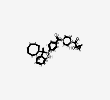 CC1(C2CCCCCCC2)c2ccccc2NN1c1ccc(C(=O)N2CCN(C(=O)C3(O)CC3)CC2)cc1